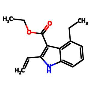 C=Cc1[nH]c2cccc(CC)c2c1C(=O)OCC